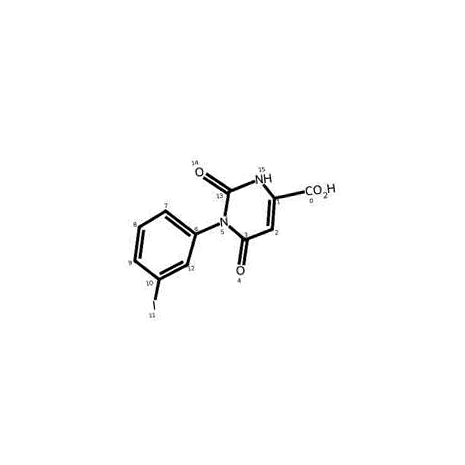 O=C(O)c1cc(=O)n(-c2cccc(I)c2)c(=O)[nH]1